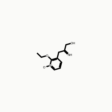 CCOc1c(CC(=N)CO)ccc[n+]1[O-]